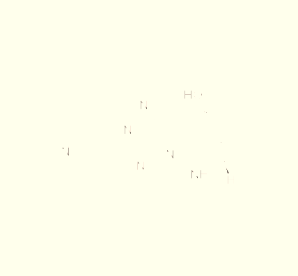 N#Cc1ccc2ncc(-c3nccc(NC4C5CC6C[C@H]4CC(O)(C6)C5)n3)n2c1